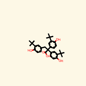 CC(C)(C)c1cc(CC(C(=O)O)(c2ccc(O)c(C(C)(C)C)c2)c2ccc(O)c(C(C)(C)C)c2)ccc1O